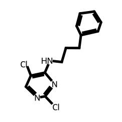 Clc1ncc(Cl)c(NCCCc2ccccc2)n1